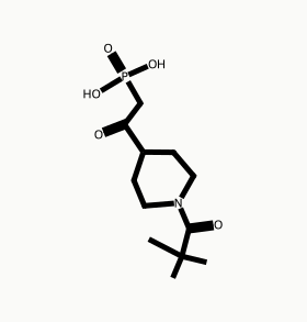 CC(C)(C)C(=O)N1CCC(C(=O)CP(=O)(O)O)CC1